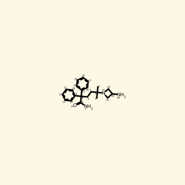 CC(C)(CCC(C(N)=O)(c1ccccc1)c1ccccc1)N1CC(N)C1